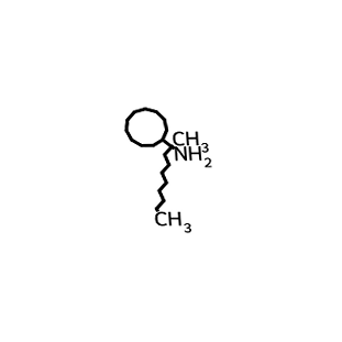 CCCCCCCCC(C)(N)C1CCCCCCCCCC1